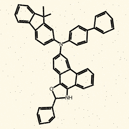 CC1(C)c2ccccc2-c2ccc(N(c3ccc(-c4ccccc4)cc3)c3ccc4c5c(c6ccccc6c4c3)NC(c3ccccc3)O5)cc21